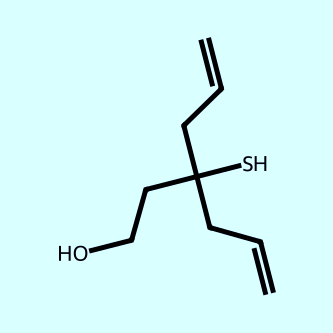 C=CCC(S)(CC=C)CCO